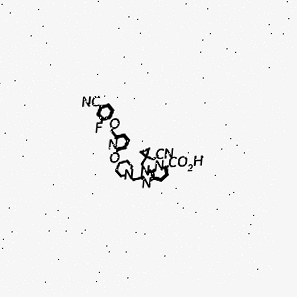 N#CCC1(Cn2c(CN3CCC(Oc4cccc(COc5ccc(C#N)cc5F)n4)CC3)nc3ccc(C(=O)O)nc32)CC1